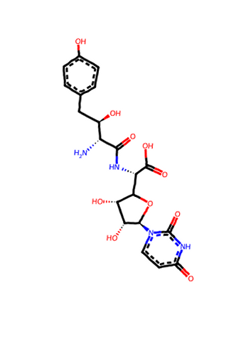 N[C@@H](C(=O)N[C@H](C(=O)O)C1O[C@@H](n2ccc(=O)[nH]c2=O)[C@H](O)[C@@H]1O)[C@H](O)Cc1ccc(O)cc1